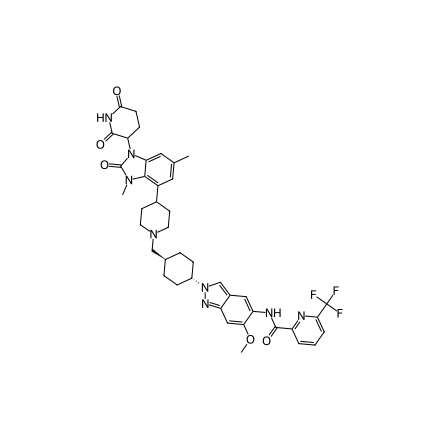 COc1cc2nn([C@H]3CC[C@H](CN4CCC(c5cc(C)cc6c5n(C)c(=O)n6C5CCC(=O)NC5=O)CC4)CC3)cc2cc1NC(=O)c1cccc(C(F)(F)F)n1